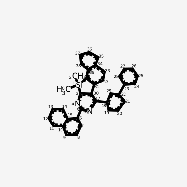 C[Si]1(C)c2nc(-c3cccc4ccccc34)nc(-c3cccc(-c4ccccc4)c3)c2-c2ccc3ccccc3c21